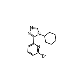 Brc1cccc(-c2nncn2C2CCCCC2)n1